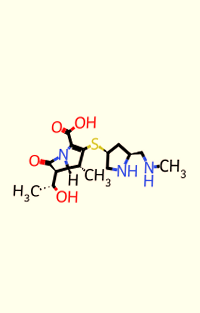 CNC[C@@H]1C[C@H](SC2=C(C(=O)O)N3C(=O)[C@H]([C@@H](C)O)[C@H]3[C@H]2C)CN1